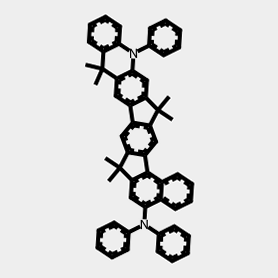 CC1(C)c2cc3c(cc2-c2cc4c(cc21)N(c1ccccc1)c1ccccc1C4(C)C)C(C)(C)c1cc(N(c2ccccc2)c2ccccc2)c2ccccc2c1-3